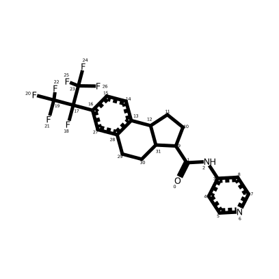 O=C(Nc1ccncc1)C1CCC2c3ccc(C(F)(C(F)(F)F)C(F)(F)F)cc3CCC12